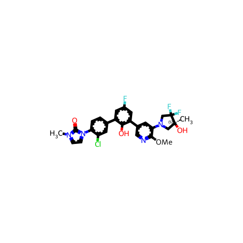 COc1ncc(-c2cc(F)cc(-c3ccc(-n4ccn(C)c4=O)c(Cl)c3)c2O)cc1N1CC(F)(F)[C@@](C)(O)C1